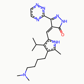 Cc1[nH]c(C=C2C(=O)NN=C2c2nccnn2)c(C(C)C)c1CCCCN(C)C